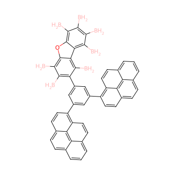 Bc1c(B)c(B)c2c(oc3c(B)c(B)c(-c4cc(-c5ccc6ccc7cccc8ccc5c6c78)cc(-c5ccc6ccc7cccc8ccc5c6c78)c4)c(B)c32)c1B